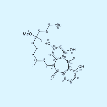 COC(C)(CCC/C(C)=C/CN1C(=O)c2cccc(O)c2N(C)c2c(O)cc(O)cc21)CCCC(C)(C)C